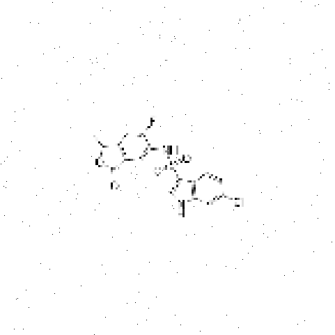 CC1OC(=O)c2cc(NS(=O)(=O)c3c[nH]c4cc(Cl)ccc34)c(F)cc21